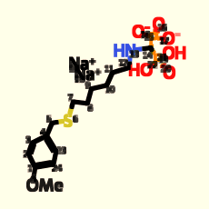 COc1ccc(CSCCCCCCNC(P(=O)([O-])[O-])P(=O)(O)O)cc1.[Na+].[Na+]